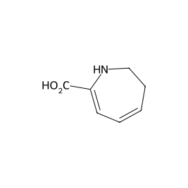 O=C(O)C1=CC=CCCN1